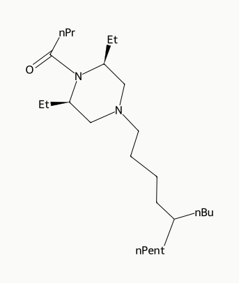 CCCCCC(CCCC)CCCCN1C[C@@H](CC)N(C(=O)CCC)[C@@H](CC)C1